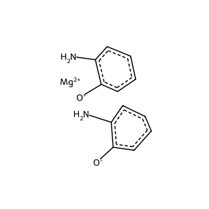 Nc1ccccc1[O-].Nc1ccccc1[O-].[Mg+2]